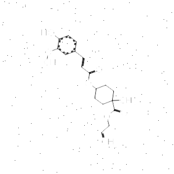 C=CCOC(=O)C1(C)CCC(OC(=O)C=Cc2ccc(O)c(OC)c2)CC1